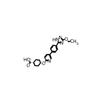 CCOc1n[nH]c(-c2ccc(-c3ccc(O[C@H]4CC[C@@H](C(=O)O)CC4)nc3)cc2)n1